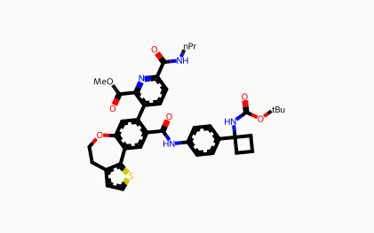 CCCNC(=O)c1ccc(-c2cc3c(cc2C(=O)Nc2ccc(C4(NC(=O)OC(C)(C)C)CCC4)cc2)-c2sccc2CCO3)c(C(=O)OC)n1